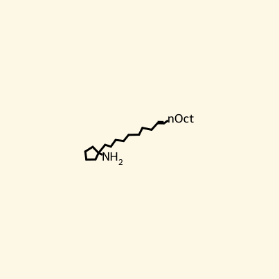 CCCCCCCCC=CCCCCCCCCC1(N)CCCC1